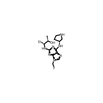 CC[C@H](Nc1nc(N[C@H]2CCNC2)c2ncn(CF)c2n1)[C@@H](C)O